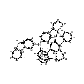 c1ccc(N(c2ccc3c(c2)C2(c4ccccc4-3)c3ccccc3-c3c2cc2c4c(cccc34)-c3ccccc3-2)c2ccc3sc4ccccc4c3c2)cc1